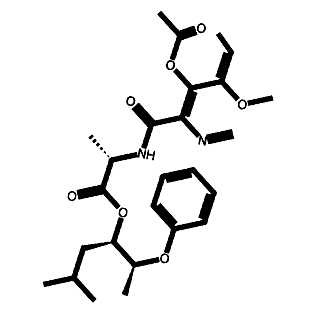 C=N/C(C(=O)N[C@@H](C)C(=O)O[C@H](CC(C)C)[C@H](C)Oc1ccccc1)=C(OC(C)=O)\C(=C/C)OC